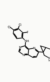 Fc1c(Nc2ncnc3ccc(C45CNCCC4C5)nc23)ccc(Cl)c1Cl